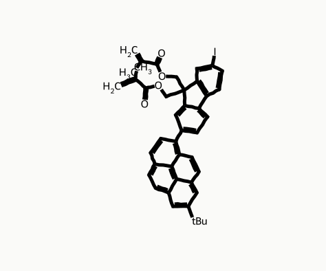 C=C(C)C(=O)OCC1(COC(=O)C(=C)C)c2cc(I)ccc2-c2ccc(-c3ccc4ccc5cc(C(C)(C)C)cc6ccc3c4c56)cc21